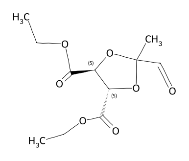 CCOC(=O)[C@H]1OC(C)(C=O)O[C@@H]1C(=O)OCC